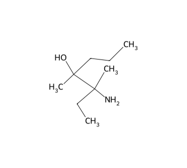 CCCC(C)(O)C(C)(N)CC